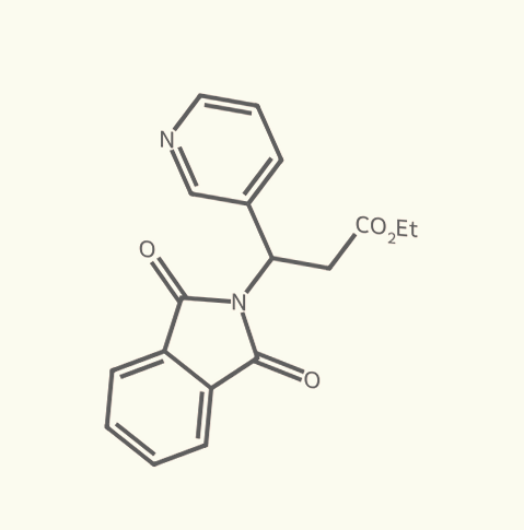 CCOC(=O)CC(c1cccnc1)N1C(=O)c2ccccc2C1=O